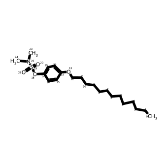 CCCCCCCCCCCCCOc1ccc(OS(=O)(=O)N(C)C)cc1